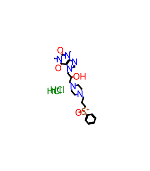 Cl.Cl.Cn1c(=O)c2c(ncn2CC(O)CN2CCN(CCC[S+]([O-])c3ccccc3)CC2)n(C)c1=O